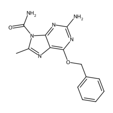 Cc1nc2c(OCc3ccccc3)nc(N)nc2n1C(N)=O